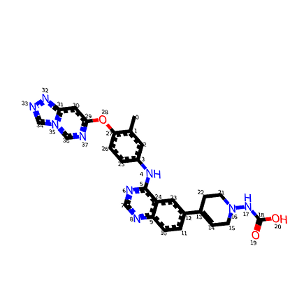 Cc1cc(Nc2ncnc3ccc(C4=CCN(NC(=O)O)CC4)cc23)ccc1Oc1cc2nncn2cn1